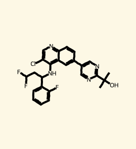 CC(C)(O)c1ncc(-c2ccc3ncc(Cl)c(NC(CC(F)F)c4ccccc4F)c3c2)cn1